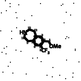 COCc1cc2c(cc1C(F)(F)F)CCNCC2